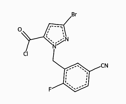 N#Cc1ccc(F)c(Cn2nc(Br)cc2C(=O)Cl)c1